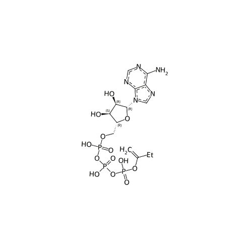 C=C(CC)OP(=O)(O)OP(=O)(O)OP(=O)(O)OC[C@H]1O[C@@H](n2cnc3c(N)ncnc32)[C@H](O)[C@@H]1O